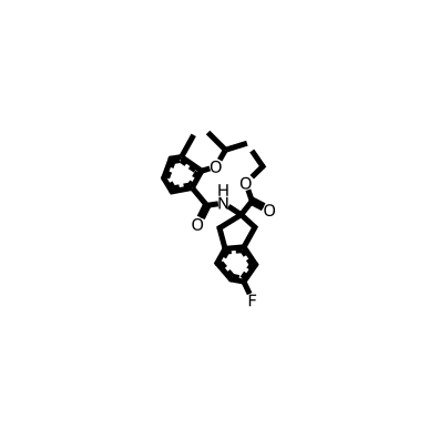 CCOC(=O)C1(NC(=O)c2cccc(C)c2OC(C)C)Cc2ccc(F)cc2C1